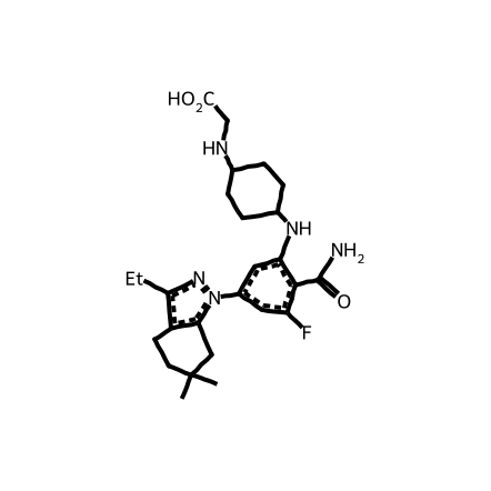 CCc1nn(-c2cc(F)c(C(N)=O)c(NC3CCC(NCC(=O)O)CC3)c2)c2c1CCC(C)(C)C2